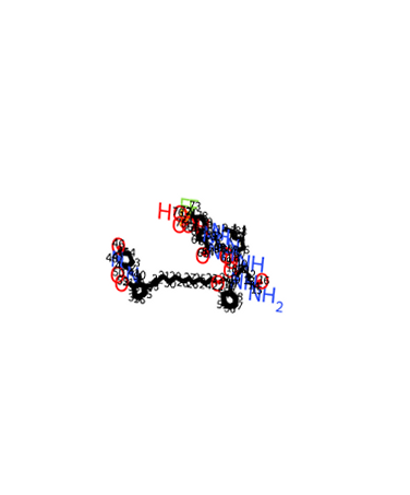 CN1CC[C@H]2CC[C@@H](C(=O)N[C@@H](CCC(N)=O)C(=O)N[C@H](COCCCCCCCCCC#Cc3cccc4c3CN(C3CCC(=O)N(C)C3=O)C4=O)c3ccccc3)N2C(=O)[C@@H](NC(=O)c2cc3cc(C(F)(F)P(=O)(O)O)ccc3[nH]2)C1